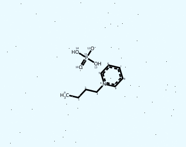 CCCC[n+]1ccccc1.O=P([O-])(O)O